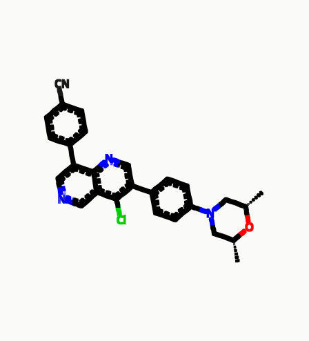 C[C@@H]1CN(c2ccc(-c3cnc4c(-c5ccc(C#N)cc5)cncc4c3Cl)cc2)C[C@H](C)O1